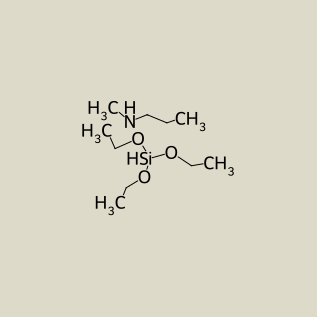 CCCNC.CCO[SiH](OCC)OCC